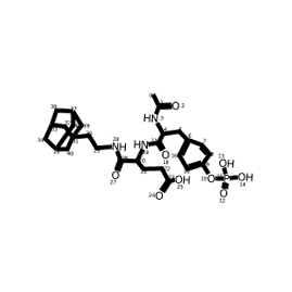 CC(=O)NC(Cc1ccc(OP(=O)(O)O)cc1)C(=O)NC(CCC(=O)O)C(=O)NCCC12CC3CC(CC(C3)C1)C2